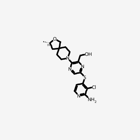 C[C@H]1CC2(CCN(c3ncc(Sc4ccnc(N)c4Cl)nc3CO)CC2)CO1